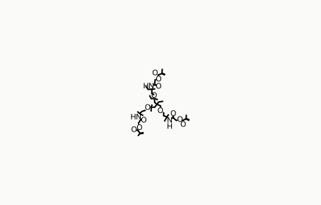 C=C(C)C(=O)OCC(=O)NC(C)(C)CCOCC(CC)(CC(C)(C)OCCC(C)(C)NC(=O)COC(=O)C(=C)C)CC(C)(CC)OCC(C)(CC)NC(=O)COC(=O)C(=C)C